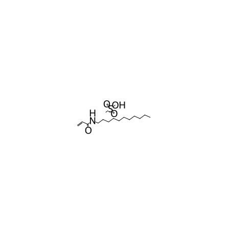 C=CC(=O)NCCCCCCCCCCC.CS(=O)(=O)O